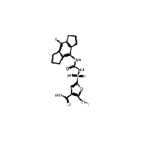 Cc1oc(S(=N)(=O)NC(=O)Nc2c3c(c(F)c4c2CCC4)CCC3)cc1C(=O)O